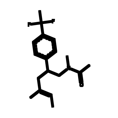 CC=C(C)CC(CN(C)C(C)=O)c1ccc(C(C)(F)F)cc1